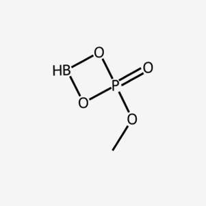 COP1(=O)OBO1